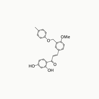 COc1ccc(/C=C/C(=O)c2ccc(O)cc2O)cc1COc1ccc(C)cc1